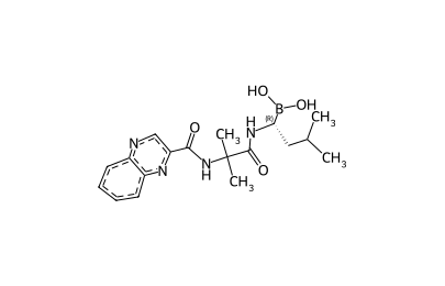 CC(C)C[C@H](NC(=O)C(C)(C)NC(=O)c1cnc2ccccc2n1)B(O)O